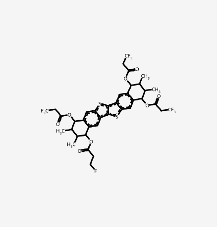 CC1C(OC(=O)CCF)c2cc3c(cc2C(OC(=O)CC(F)(F)F)C1C)sc1c2cc4c(cc2sc31)C(OC(=O)CC(F)(F)F)C(C)C(C)C4OC(=O)CC(F)(F)F